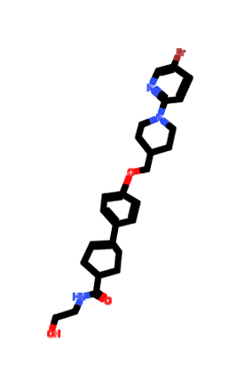 O=C(NCCO)C1CC=C(c2ccc(OCC3CCN(c4ccc(Br)cn4)CC3)cc2)CC1